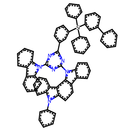 c1ccc(-c2cccc([Si](c3ccccc3)(c3ccccc3)c3cccc(-c4nc(-n5c6ccccc6c6ccccc65)nc(-n5c6ccccc6c6ccc7c(c8ccccc8n7-c7ccccc7)c65)n4)c3)c2)cc1